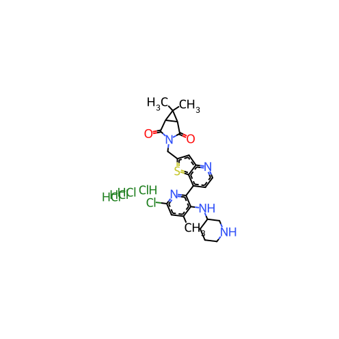 Cc1cc(Cl)nc(-c2ccnc3cc(CN4C(=O)C5C(C4=O)C5(C)C)sc23)c1NC1CCCNC1.Cl.Cl.Cl.Cl